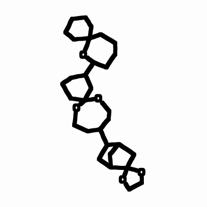 C1CCC2(CC1)CCCCC(C1CCCC3(C1)OCCC(C1CC4CC1CC41OCCO1)CCO3)O2